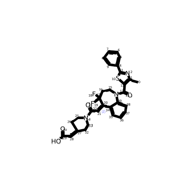 Cc1nc(-c2ccccc2)sc1C(=O)N1CCC(F)(F)/C(=C\C(=O)N2CCC(=CC(=O)O)CC2)c2ccccc21